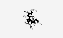 C=C/C=c1\c(=C)c(=C)/c(=C\C=C)n1Pn1c(/C=C\C)c(C)c(C)c1/C=C\CC